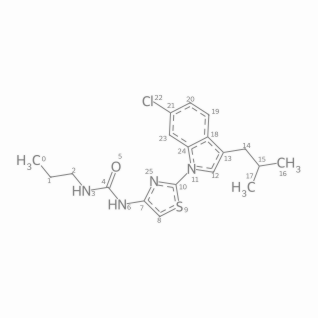 CCCNC(=O)Nc1csc(-n2cc(CC(C)C)c3ccc(Cl)cc32)n1